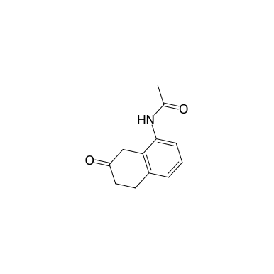 CC(=O)Nc1cccc2c1CC(=O)CC2